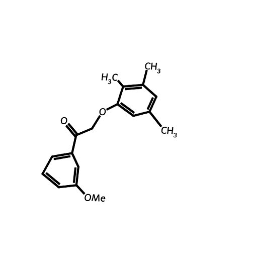 COc1cccc(C(=O)COc2cc(C)cc(C)c2C)c1